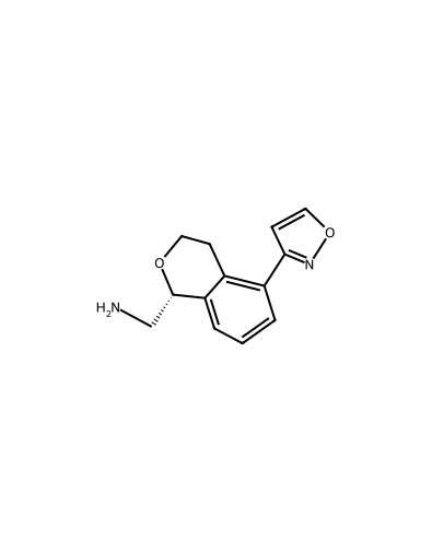 NC[C@@H]1OCCc2c(-c3ccon3)cccc21